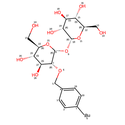 CCC(C)c1ccc(CO[C@H]2[C@@H](O[C@H]3O[C@H](CO)[C@@H](O)[C@H](O)[C@H]3O)O[C@H](CO)[C@@H](O)[C@@H]2O)cc1